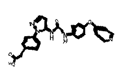 O=C(O)Cc1ccc(-n2nccc2NC(=O)Nc2ccc(Oc3ccncc3)cc2)cc1